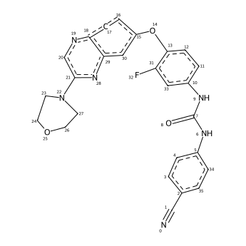 N#Cc1ccc(NC(=O)Nc2ccc(Oc3ccc4ncc(N5CCOCC5)nc4c3)c(F)c2)cc1